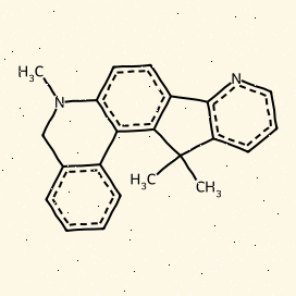 CN1Cc2ccccc2-c2c1ccc1c2C(C)(C)c2cccnc2-1